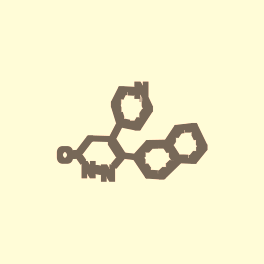 O=C1CC(c2ccncc2)=C(c2ccc3ccccc3c2)N=N1